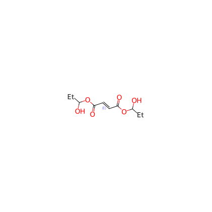 CCC(O)OC(=O)/C=C/C(=O)OC(O)CC